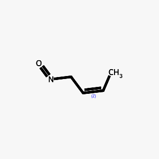 C/C=C\CN=O